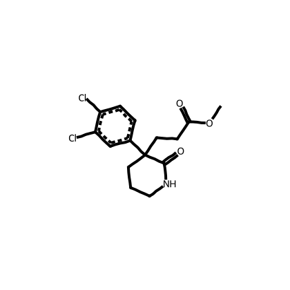 COC(=O)CCC1(c2ccc(Cl)c(Cl)c2)CCCNC1=O